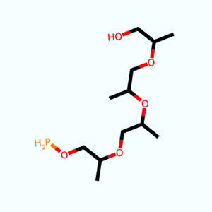 CC(CO)OCC(C)OC(C)COC(C)COP